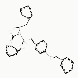 O=C1OCC(Cc2ccccc2)N1[C@H](Cc1ccc(OCc2ccccc2)cc1)Oc1ccccc1